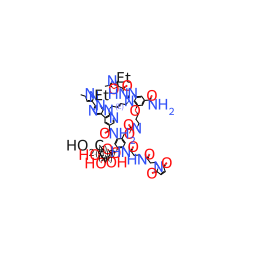 CCc1nc(C)oc1C(=O)Nc1nc2cc(C(N)=O)cc(OCCCN(C)C(=O)OCc3ccc(O[C@@H]4O[C@H](C(=O)O)[C@@H](O)[C@H](O)[C@H]4O)c(NC(=O)CCNC(=O)CCN4C(=O)C=CC4=O)c3)c2n1C/C=C/Cn1c2ncc(C(N)=O)cc2c2cnc(-c3cc(C)nn3CC)nc21